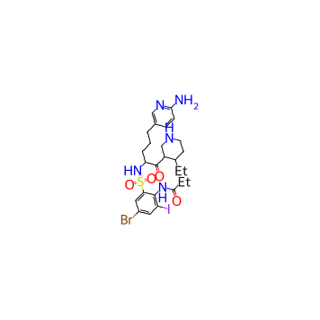 CCC(=O)Nc1c(I)cc(Br)cc1S(=O)(=O)NC(CCCc1ccc(N)nc1)C(=O)C1CNCCC1CC